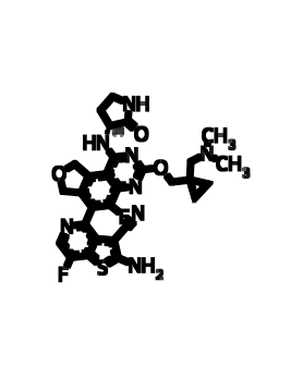 CN(C)CC1(COc2nc(N[C@@H]3CCNC3=O)c3c4c(c(-c5ncc(F)c6sc(N)c(C#N)c56)c(F)c3n2)COC4)CC1